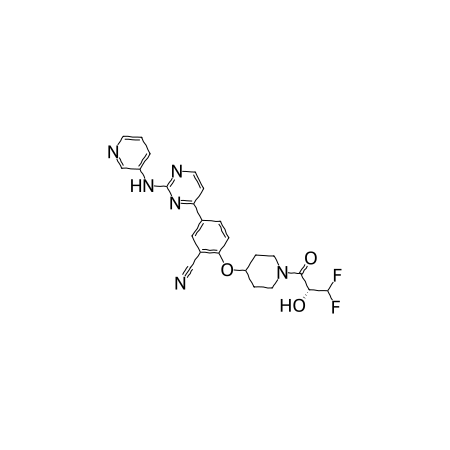 N#Cc1cc(-c2ccnc(Nc3cccnc3)n2)ccc1OC1CCN(C(=O)[C@@H](O)C(F)F)CC1